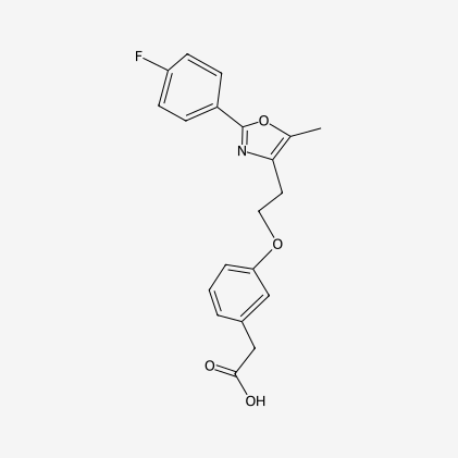 Cc1oc(-c2ccc(F)cc2)nc1CCOc1cccc(CC(=O)O)c1